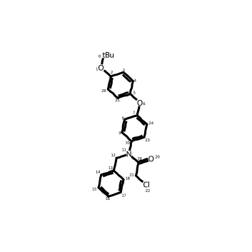 CC(C)(C)Oc1ccc(Oc2ccc(N(Cc3ccccc3)C(=O)CCl)cc2)cc1